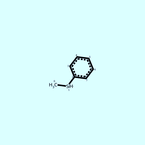 C[SiH]c1ccccc1